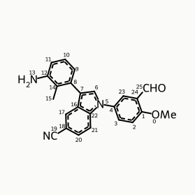 COc1ccc(-n2cc(-c3cccc(N)c3C)c3cc(C#N)ccc32)cc1C=O